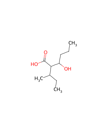 CCCC(O)C(C(=O)O)C(C)CC